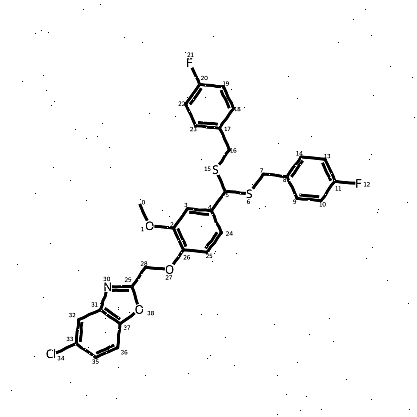 COc1cc(C(SCc2ccc(F)cc2)SCc2ccc(F)cc2)ccc1OCc1nc2cc(Cl)ccc2o1